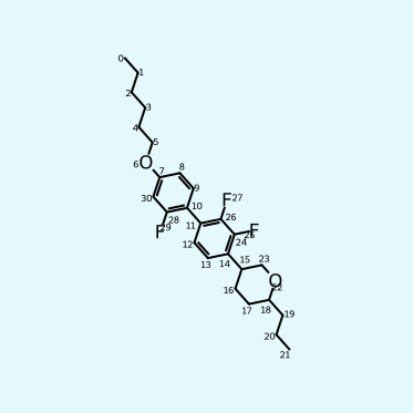 CCCCCCOc1ccc(-c2ccc(C3CCC(CCC)OC3)c(F)c2F)c(F)c1